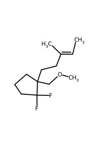 C/C=C(\C)CCC1(COC)CCCC1(F)F